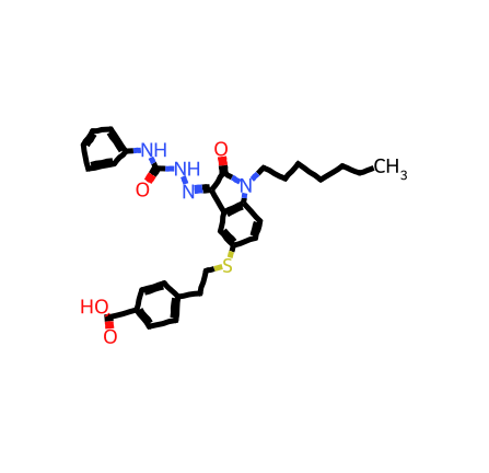 CCCCCCCN1C(=O)/C(=N\NC(=O)Nc2ccccc2)c2cc(SCCc3ccc(C(=O)O)cc3)ccc21